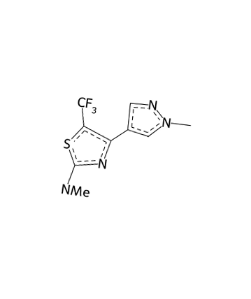 CNc1nc(-c2cnn(C)c2)c(C(F)(F)F)s1